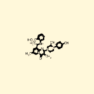 Cc1cc([C@@H](C)Nc2ccccc2C(=O)O)c2nc(N3CCN(c4ccc(C#N)cc4)[C@H](C)C3)c(C)c(=O)n2c1